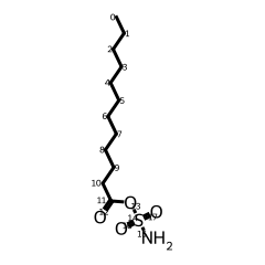 CCCCCCCCCCCC(=O)OS(N)(=O)=O